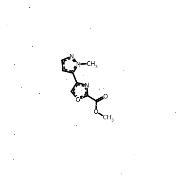 COC(=O)c1nc(-c2ccnn2C)co1